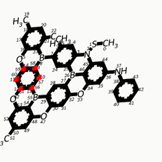 CSN1c2cc(C)c(B3c4ccccc4Oc4cc(C)cc(C)c43)cc2B2c3cc4c(cc3Oc3cc(Nc5ccccc5)cc1c32)Oc1cc(C)cc2c1B4c1ccccc1O2